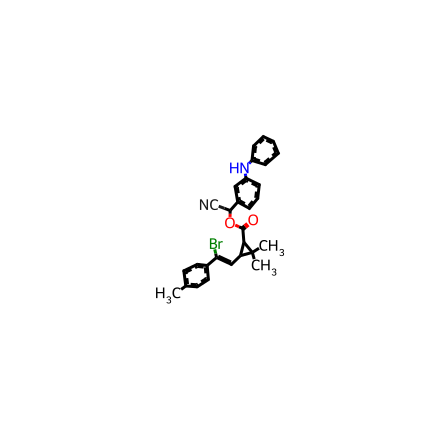 Cc1ccc(C(Br)=CC2C(C(=O)OC(C#N)c3cccc(Nc4ccccc4)c3)C2(C)C)cc1